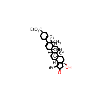 CCOC(=O)C1CC=C(C2=CC[C@]3(C)[C@H]4CC[C@@H]5C6=C(C(C)C)C(=O)C[C@]6(CO)CC[C@@]5(C)[C@]4(C)CC[C@H]3C2(C)C)CC1